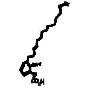 O=C(O)Oc1cccc(CCCCCCCCCCCCCBr)c1O